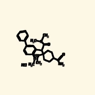 CNC1(C(C(=O)N(C)C)c2cc(-c3ccccc3)ccc2OC)CCC(C(N)=O)CC1.Cl